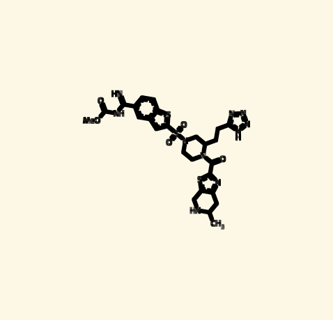 COC(=O)NC(=N)c1ccc2sc(S(=O)(=O)N3CCN(C(=O)c4nc5c(s4)CNC(C)C5)C(CCc4nnn[nH]4)C3)cc2c1